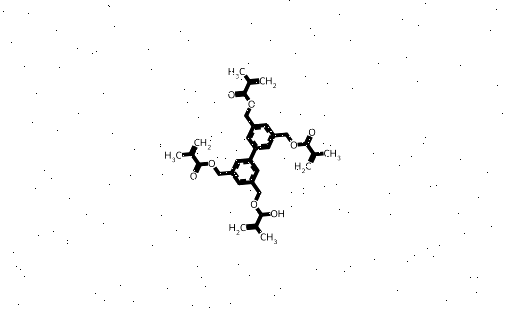 C=C(C)C(=O)OCc1cc(COC(=O)C(=C)C)cc(-c2cc(COC(=O)C(=C)C)cc(COC(O)C(=C)C)c2)c1